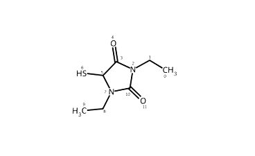 CCN1C(=O)C(S)N(CC)C1=O